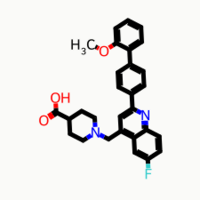 COc1ccccc1-c1ccc(-c2cc(CN3CCC(C(=O)O)CC3)c3cc(F)ccc3n2)cc1